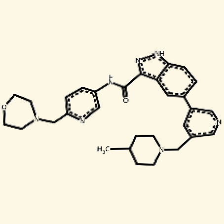 CC1CCN(Cc2cncc(-c3ccc4[nH]nc(C(=O)Nc5ccc(CN6CCOCC6)nc5)c4c3)c2)CC1